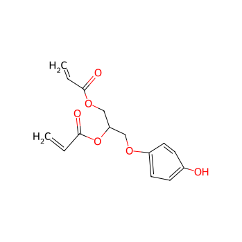 C=CC(=O)OCC(COc1ccc(O)cc1)OC(=O)C=C